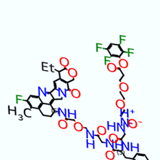 CCC1C(=O)OCc2c1cc1n(c2=O)Cc2c-1nc1cc(F)c(C)c3c1c2[C@@H](NC(=O)COCNC(=O)CNC(=O)[C@H](Cc1ccccc1)NC(=O)CN[NH+]([O-])CCOCCOCCC(=O)Oc1c(F)c(F)cc(F)c1F)CC3